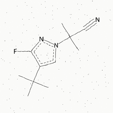 CC(C)(C)c1cn(C(C)(C)C#N)nc1F